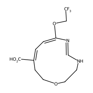 O=C(O)/C1=C/C=C(OCC(F)(F)F)\N=C\NCCOCC1